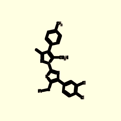 Cc1nn(-c2nc(-c3ccc(Cl)c(Cl)c3)c(SC(C)C)s2)c(C(=O)O)c1-c1ccc(C(F)(F)F)cc1